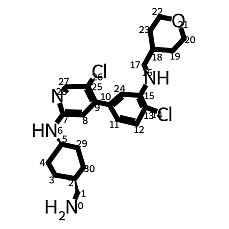 NC[C@H]1CC[C@H](Nc2cc(-c3ccc(Cl)c(NCC4CCOCC4)c3)c(Cl)cn2)CC1